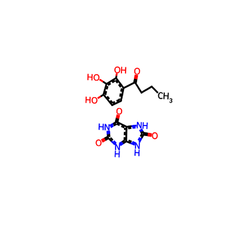 CCCC(=O)c1ccc(O)c(O)c1O.O=c1[nH]c(=O)c2[nH]c(=O)[nH]c2[nH]1